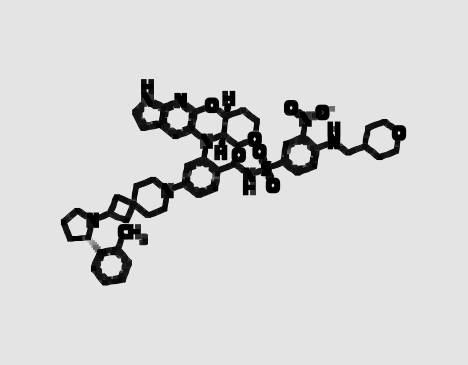 Cc1ccccc1[C@@H]1CCCN1C1CC2(CCN(c3ccc(C(=O)NS(=O)(=O)c4ccc(NCC5CCOCC5)c([N+](=O)[O-])c4)c(N4c5cc6cc[nH]c6nc5O[C@@H]5CCOC[C@@H]54)c3)CC2)C1